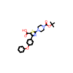 CC(C)(C)OC(=O)N1CCN(c2nc(-c3ccc(Oc4ccccc4)cc3)c(C(=O)O)s2)CC1